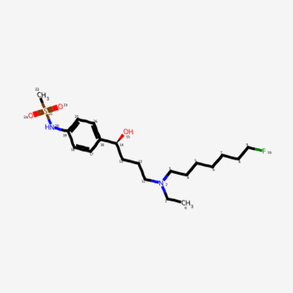 CCN(CCCCCCCF)CCC[C@H](O)c1ccc(NS(C)(=O)=O)cc1